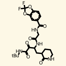 CC(C)(C)NC(=O)C(=O)C(CC1CCCNC1=O)NC(=O)CNC(=O)c1ccc2c(c1)OC(F)(F)O2